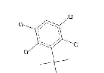 CC(C)(C)c1c(Cl)c(Cl)cc(Cl)c1Cl